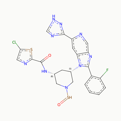 O=[SH]N1C[C@H](NC(=O)c2ncc(Cl)s2)C[C@H](n2c(-c3ccccc3F)nc3cnc(-c4nc[nH]n4)cc32)C1